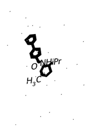 CC(C)C1CC[C@@H](C)C[C@H]1NC(=O)c1ccc(-c2ccccc2)cc1